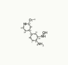 COc1cc(-c2ccc(N)c(NO)c2)ccn1